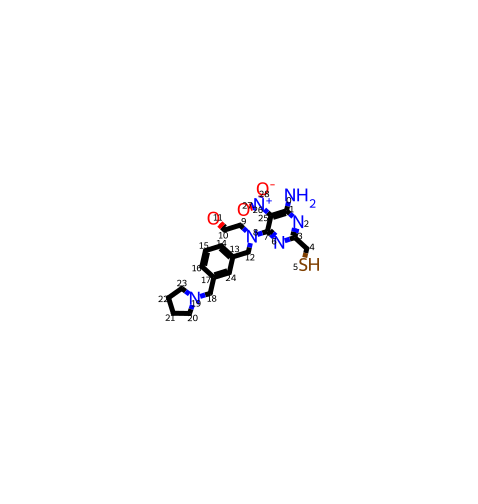 Nc1nc(CS)nc(N(CC=O)Cc2cccc(CN3CCCC3)c2)c1[N+](=O)[O-]